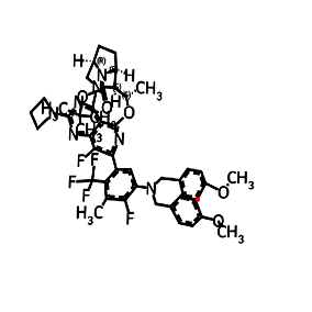 COc1ccc(CN(Cc2ccc(OC)cc2)c2cc(-c3nc4c5c(nc(N6CCC6)nc5c3F)N3C[C@H]5CC[C@@H]([C@H]3[C@H](C)O4)N5C(=O)OC(C)(C)C)c(C(F)(F)F)c(C)c2F)cc1